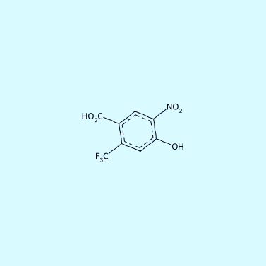 O=C(O)c1cc([N+](=O)[O-])c(O)cc1C(F)(F)F